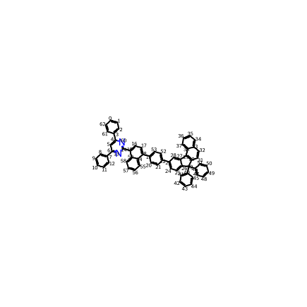 c1ccc(-c2cc(-c3ccccc3)nc(-c3ccc(-c4ccc(-c5ccc6c(c5)-c5c(ccc7ccccc57)C6(c5ccccc5)c5ccccc5)cc4)c4ccccc34)n2)cc1